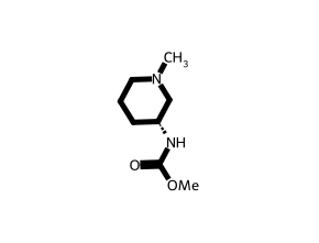 COC(=O)N[C@@H]1CCCN(C)C1